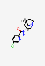 O=C(N[C@@H]1C[C@H]2CCN(C2)C1)c1ccc(Cl)cn1